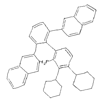 Pc1c(-c2c(-c3ccc4ccccc4c3)cccc2-c2ccc3ccccc3c2)ccc(C2CCCCC2)c1C1CCCCC1